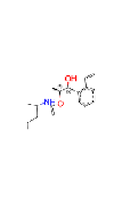 C=Cc1ccccc1[C@H](O)[C@H](C)OC(=C)NC(C)CCC